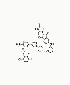 Nc1ncc(-c2cnn(C3CCC(CN4CCC[C@H](Nc5ccc6c(c5)C(=O)N(C5CCC(=O)NC5=O)C6=O)C4)CC3)c2)cc1OCCc1c(Cl)ccc(F)c1Cl